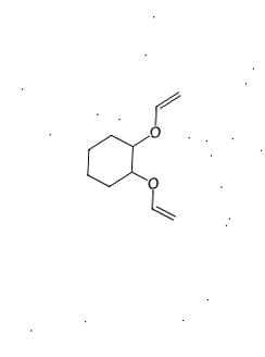 C=COC1CCCCC1OC=C